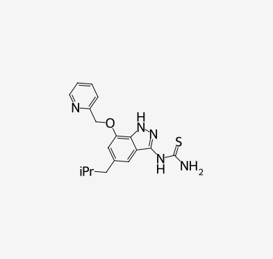 CC(C)Cc1cc(OCc2ccccn2)c2[nH]nc(NC(N)=S)c2c1